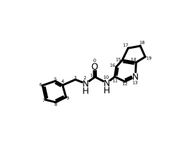 O=C(NCc1ccccc1)Nc1cnc2c(c1)CCC2